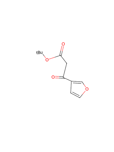 CC(C)(C)OC(=O)CC(=O)c1ccoc1